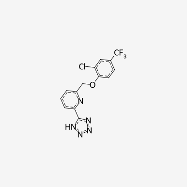 FC(F)(F)c1ccc(OCc2cccc(-c3nnn[nH]3)n2)c(Cl)c1